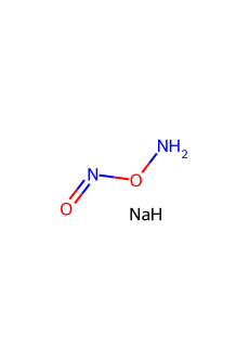 NON=O.[NaH]